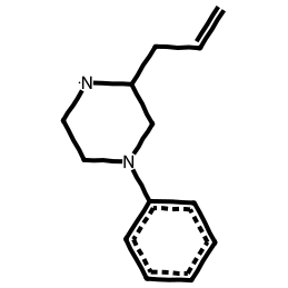 C=CCC1CN(c2ccccc2)CC[N]1